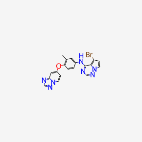 Cc1cc(Nc2ncnn3ccc(Br)c23)ccc1Oc1ccn2ncnc2c1